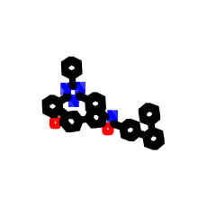 c1ccc(-c2nc(-c3ccccc3)nc(-c3cccc4oc5ccc(-c6ccc7nc(-c8ccc(-c9ccccc9-c9ccccc9)cc8)oc7c6)cc5c34)n2)cc1